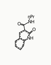 CCCNC(=O)c1cc2ccccc2[nH]c1=O